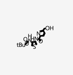 CC(C)(C)OC(=O)Nc1cscc1NC(=O)c1ccc(CO)cn1